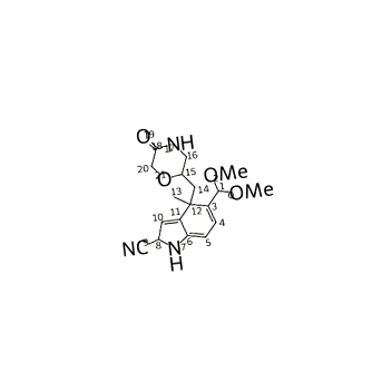 COC(OC)C1=CC=C2NC(C#N)C=C2C1(C)CC1CNC(=O)CO1